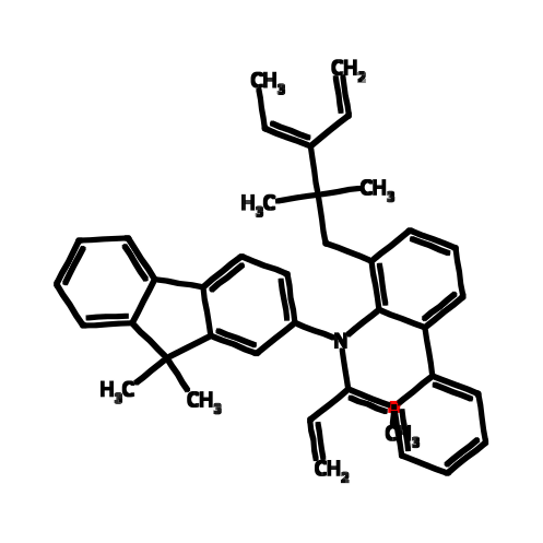 C=C/C(=C\C)N(c1ccc2c(c1)C(C)(C)c1ccccc1-2)c1c(CC(C)(C)/C(C=C)=C/C)cccc1-c1ccccc1